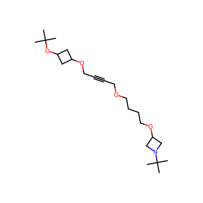 CC(C)(C)OC1CC(OCC#CCOCCCCOC2CN(C(C)(C)C)C2)C1